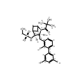 CCS(=O)(=O)N[C@H]1C2CC(C2)N(C(=O)C(C)(C)O)[C@H]1Cc1cccc(-c2cc(F)cc(F)c2)c1F